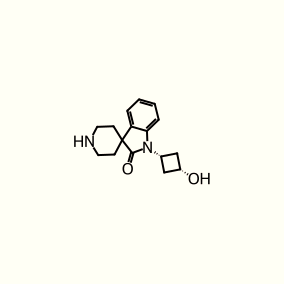 O=C1N([C@H]2C[C@@H](O)C2)c2ccccc2C12CCNCC2